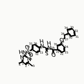 Cc1cc(C)nc(NS(=O)(=O)c2ccc(NC(=S)NC(=O)c3cccc(OCCc4ccccc4)c3)cc2)n1